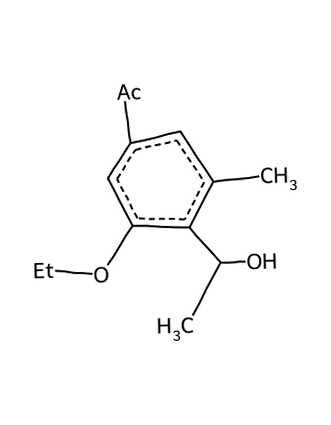 CCOc1cc(C(C)=O)cc(C)c1C(C)O